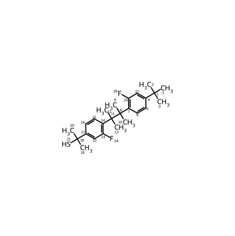 CC(C)(C)c1ccc(C(C)(C)C(C)(C)c2ccc(C(C)(C)S)cc2F)c(F)c1